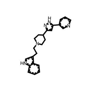 c1cncc(-c2cc(C3CCN(CCc4c[nH]c5ccccc45)CC3)n[nH]2)c1